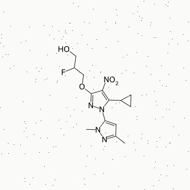 Cc1cc(-n2nc(OCC(F)CO)c([N+](=O)[O-])c2C2CC2)n(C)n1